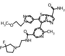 COCCn1cc(-c2sc3c(C(N)=O)cnn3c2-c2cc(C(=O)NCCN3CCC(F)(F)C3)cnc2C)cn1